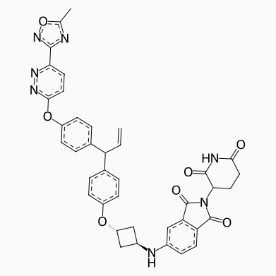 C=CC(c1ccc(Oc2ccc(-c3noc(C)n3)nn2)cc1)c1ccc(O[C@H]2C[C@H](Nc3ccc4c(c3)C(=O)N(C3CCC(=O)NC3=O)C4=O)C2)cc1